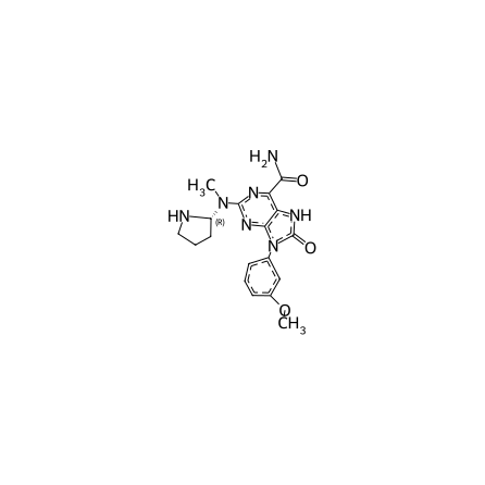 COc1cccc(-n2c(=O)[nH]c3c(C(N)=O)nc(N(C)[C@@H]4CCCN4)nc32)c1